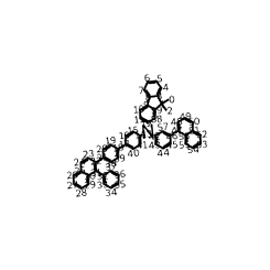 CC1(C)c2ccccc2-c2ccc(N(c3ccc(-c4ccc(-c5ccc6ccccc6c5-c5ccccc5)cc4)cc3)c3cccc(-c4cccc5ccccc45)c3)cc21